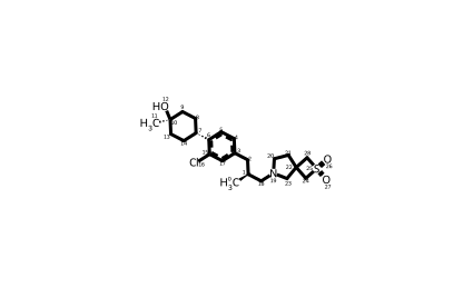 C[C@@H](Cc1ccc([C@H]2CC[C@](C)(O)CC2)c(Cl)c1)CN1CCC2(C1)CS(=O)(=O)C2